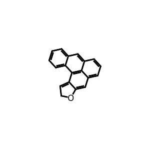 C1=c2c(cc3cccc4cc5ccccc5c2c34)OC1